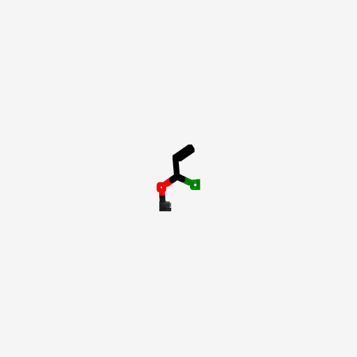 C=CC(Cl)OCC